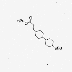 CCCCC1CCC(C2CCC(C=CC(=O)OCCC)CC2)CC1